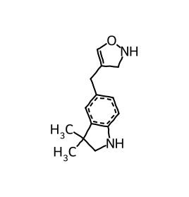 CC1(C)CNc2ccc(CC3=CONC3)cc21